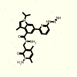 Cc1cc(C)n(N)c(=O)c1CN(N)C(=O)c1cc(-c2cccc(NN=N)n2)cc2c1c(C)cn2C(C)C